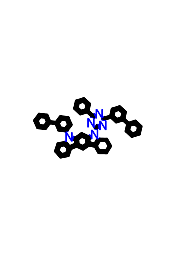 C1=Cc2c(n(-c3nc(-c4ccccc4)nc(-c4cccc(-c5ccccc5)c4)n3)c3cc4c(cc23)c2ccccc2n4-c2cccc(-c3ccccc3)c2)CC1